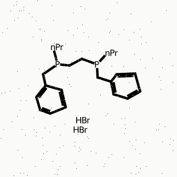 Br.Br.CCCP(CCP(CCC)Cc1ccccc1)Cc1ccccc1